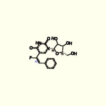 O=c1[nH]c(=O)n([C@H]2O[C@@H](CO)C(O)C2O)cc1/C(F)=C\c1ccccc1